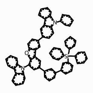 c1ccc(-n2c3ccccc3c3cc(-c4ccc5oc6c(-n7c8ccccc8c8ccccc87)cc(-c7cccc(-c8cccc([Si](c9ccccc9)(c9ccccc9)c9ccccc9)c8)c7)cc6c5c4)ccc32)cc1